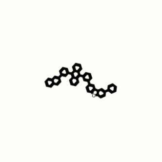 C1=CC2Oc3ccc(-c4cccc(-c5c6ccccc6c(-c6cccc(-c7ccc8ccccc8c7)c6)c6ccccc56)c4)cc3C2C=C1c1ccccc1